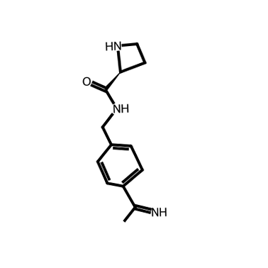 CC(=N)c1ccc(CNC(=O)[C@@H]2CCN2)cc1